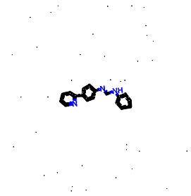 C(=Nc1ccc(-c2ccccn2)cc1)Nc1ccccc1